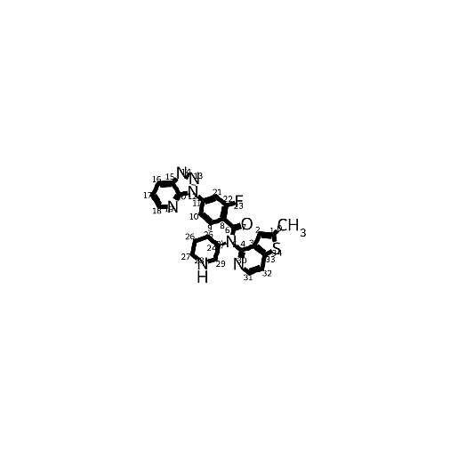 Cc1cc2c(N(C(=O)c3ccc(-n4nnc5cccnc54)cc3F)[C@@H]3CCCNC3)nccc2s1